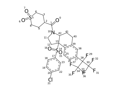 O=C(C1CCS(=O)(=O)CC1)N1CCC2(S(=O)(=O)c3ccc(Cl)cc3)c3ccc(C(F)(C(F)(F)F)C(F)(F)F)cc3CCC12